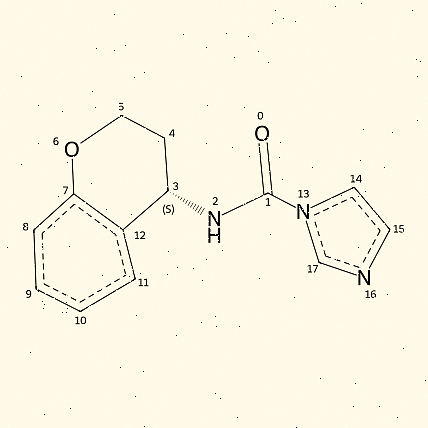 O=C(N[C@H]1CCOc2ccccc21)n1ccnc1